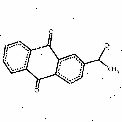 CC([O])c1ccc2c(c1)C(=O)c1ccccc1C2=O